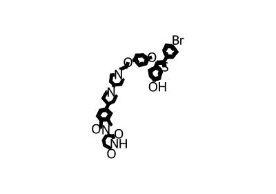 O=C1CCC(N2Cc3cc(C4CCN(C5CCN(CCOc6ccc(Oc7c(-c8ccc(Br)cc8)sc8cc(O)ccc78)cc6)CC5)CC4)ccc3C2=O)C(=O)N1